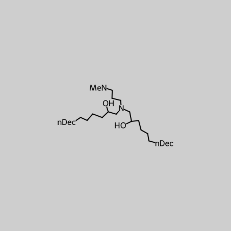 CCCCCCCCCCCCCCC(O)CN(CCCNC)CC(O)CCCCCCCCCCCCCC